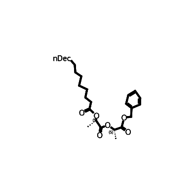 CCCCCCCCCCCCCCCCCC(=O)O[C@@H](C)C(=O)O[C@@H](C)C(=O)OCc1ccccc1